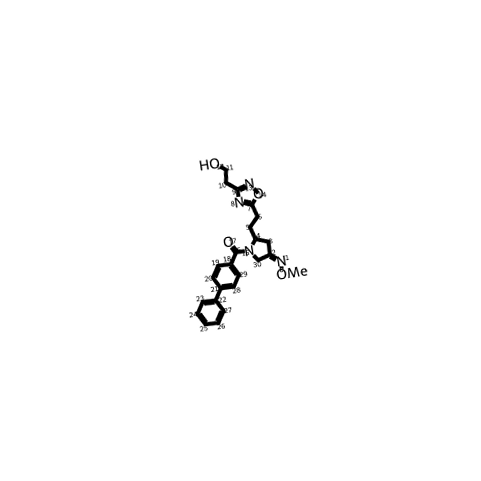 CON=C1CC(CCc2nc(CCO)no2)N(C(=O)c2ccc(-c3ccccc3)cc2)C1